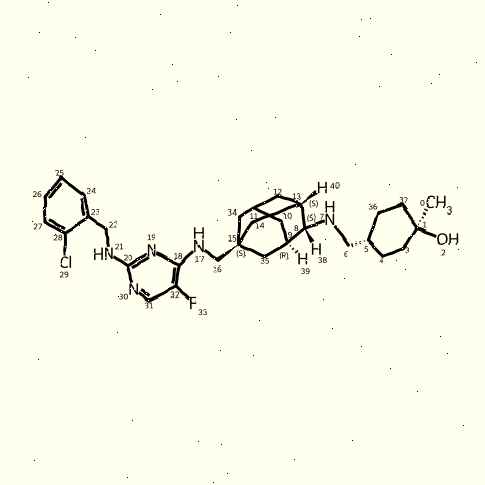 C[C@]1(O)CC[C@H](CN[C@@H]2[C@@H]3CC4C[C@H]2C[C@@](CNc2nc(NCc5ccccc5Cl)ncc2F)(C4)C3)CC1